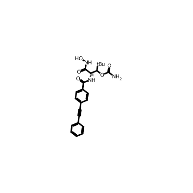 CC(C)(C)C(OC(N)=O)[C@H](NC(=O)c1ccc(C#Cc2ccccc2)cc1)C(=O)NO